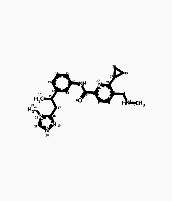 CNCc1ccc(C(=O)Nc2cccc(C(C)Cc3nncn3C)c2)nc1C1CC1